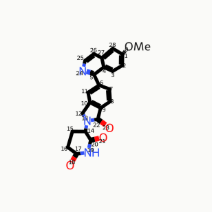 COc1ccc2c(-c3ccc4c(c3)CN(C3CCC(=O)NC3=O)C4=O)nccc2c1